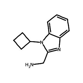 NCc1nc2ccccc2n1C1CCC1